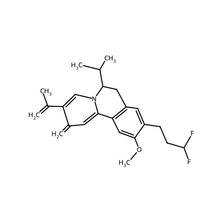 C=C(C)C1=CN2C(=CC1=C)c1cc(OC)c(CCC(F)F)cc1CC2C(C)C